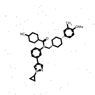 COc1ccc([C@H]2CC[C@H](CN(C(=O)C3CCC(C#N)CC3)c3cccc(-c4cnn(C5CC5)c4)c3)CC2)cc1C